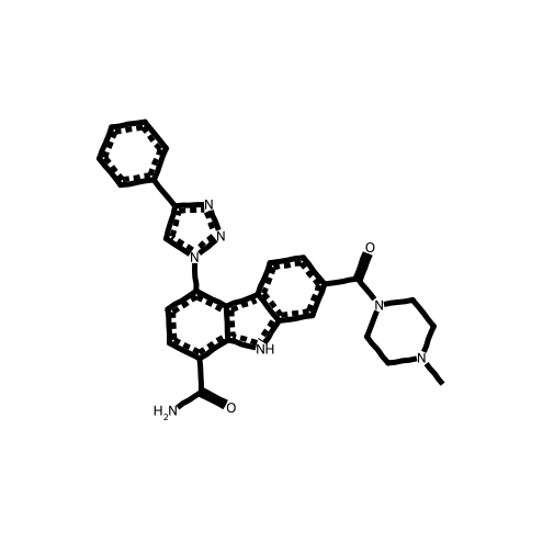 CN1CCN(C(=O)c2ccc3c(c2)[nH]c2c(C(N)=O)ccc(-n4cc(-c5ccccc5)nn4)c23)CC1